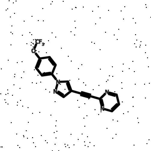 FC(F)(F)Oc1ccc(-n2cc(C#Cc3ncccn3)cn2)cc1